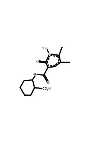 CCCCn1c(C)c(C)cc(C(=O)NC2CCCCC2C(=O)O)c1=O